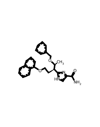 C[C@H](OCc1ccccc1)[C@H](CCOc1cccc2ccccc12)c1nc(C(N)=O)c[nH]1